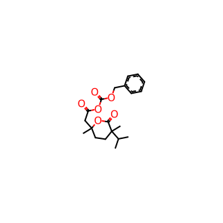 CC(C)C1(C)CCC(C)(CC(=O)OC(=O)OCc2ccccc2)OC1=O